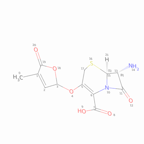 CC1=CC(OC2=C(C(=O)O)N3C(=O)[C@@H](N)[C@@H]3SC2)OC1=O